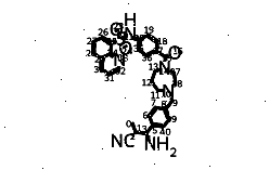 CC(C#N)C(N)c1ccc(CN2CCCN(C(=O)c3ccc(NS(=O)(=O)c4cccc5cccnc45)cc3)CC2)cc1